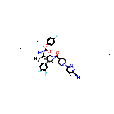 CC(NC(=O)Oc1ccc(F)cc1)[C@@H]1CN(C(=O)C2CCN(c3ccc(C#N)nn3)CC2)C[C@H]1c1ccc(F)c(F)c1